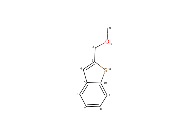 COCc1cc2ccccc2s1